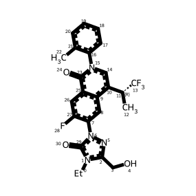 CCn1c(CO)nn(-c2cc3c([C@@H](C)C(F)(F)F)cn(-c4ccccc4C)c(=O)c3cc2F)c1=O